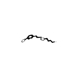 [CH2]CCCCOCCCc1ccc(Cl)cc1